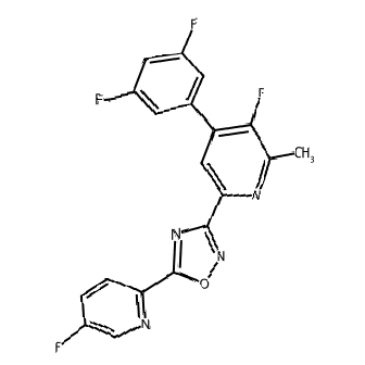 Cc1nc(-c2noc(-c3ccc(F)cn3)n2)cc(-c2cc(F)cc(F)c2)c1F